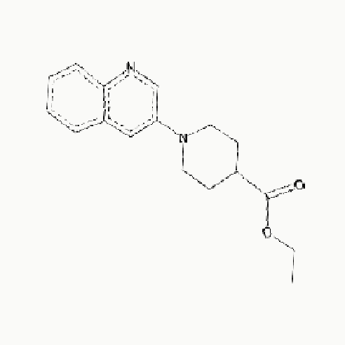 CCOC(=O)C1CCN(c2cnc3ccccc3c2)CC1